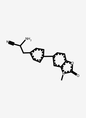 Cn1c(=O)oc2ccc(-c3ccc(CC(N)C#N)cc3)cc21